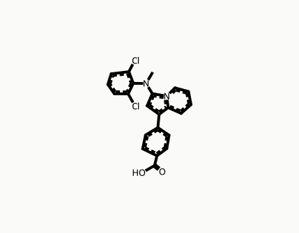 CN(c1c(Cl)cccc1Cl)c1cc(-c2ccc(C(=O)O)cc2)c2ccccn12